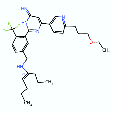 CCC/C=C(\CCC)NCc1ccc(C(F)(F)F)c(-c2nc(-c3ccc(CCCOCC)nc3)cc(=N)[nH]2)c1